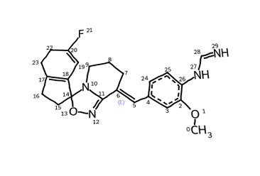 COc1cc(/C=C2\CCCN3C2=NOC32CCC3=C2C=C(F)CC3)ccc1NC=N